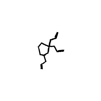 C=CCC1C[CH]CC(CC=C)(CC=C)C1